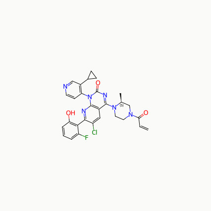 C=CC(=O)N1CCN(c2nc(=O)n(-c3ccncc3C3CC3)c3nc(-c4c(O)cccc4F)c(Cl)cc23)[C@@H](C)C1